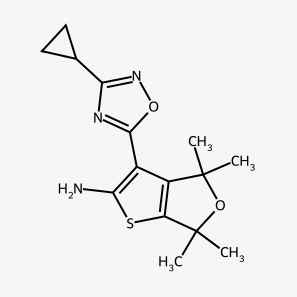 CC1(C)OC(C)(C)c2c1sc(N)c2-c1nc(C2CC2)no1